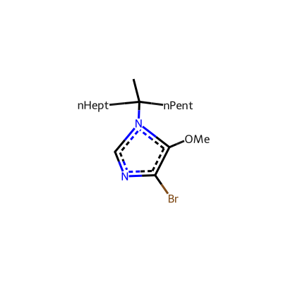 CCCCCCCC(C)(CCCCC)n1cnc(Br)c1OC